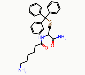 NCCCCCC(=O)NC(C#SC(c1ccccc1)(c1ccccc1)c1ccccc1)C(N)=O